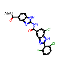 COC(=O)c1ccc2[nH]c(NC(=O)c3cc(Cl)c4[nH]c(-c5c(F)cccc5Cl)nc4c3)nc2c1